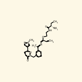 C=C/C(=C\N=C(/C)c1cccc(Cn2nc(-c3cnn(C)c3)ccc2=O)c1)OCCNC(=O)[C@@H](N)CC